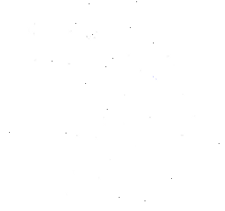 COc1ccc2c(C(=S)Oc3ccc(F)cc3)c3ccccc3[n+](C)c2c1.O=S(=O)([O-])C(F)(F)F